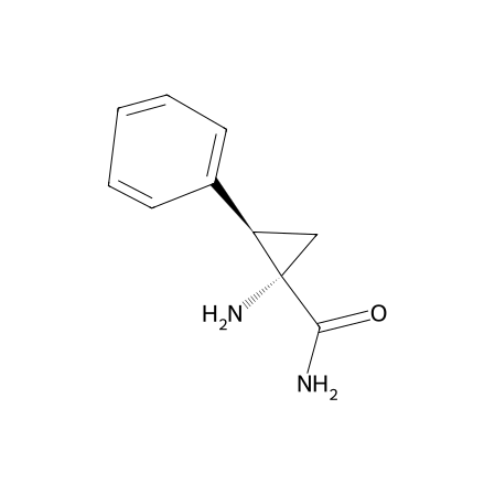 NC(=O)[C@]1(N)C[C@@H]1c1ccccc1